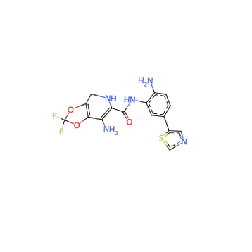 NC1=C(C(=O)Nc2cc(-c3cncs3)ccc2N)NCC2=C1OC(F)(F)O2